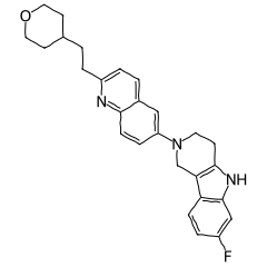 Fc1ccc2c3c([nH]c2c1)CCN(c1ccc2nc(CCC4CCOCC4)ccc2c1)C3